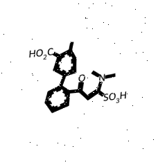 Cc1ccc(-c2ccccc2C(=O)C=C(N(C)C)S(=O)(=O)O)cc1C(=O)O